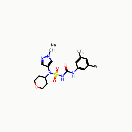 CCc1cc(NC(=O)NS(=O)(=O)N(c2cnn(C)c2)C2CCOCC2)cc(C(F)(F)F)c1.[Na]